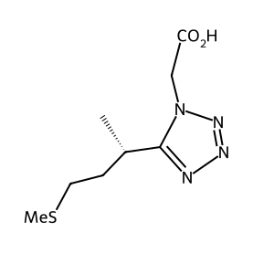 CSCC[C@H](C)c1nnnn1CC(=O)O